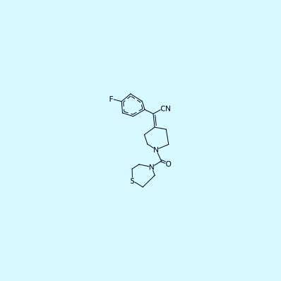 N#CC(=C1CCN(C(=O)N2CCSCC2)CC1)c1ccc(F)cc1